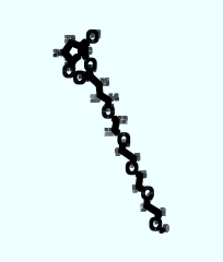 COCCOCCOCCOCCOCCCC(=O)ON1C(=O)CCC1=O